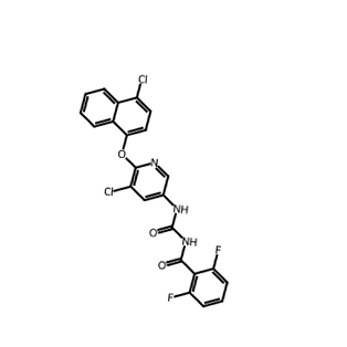 O=C(NC(=O)c1c(F)cccc1F)Nc1cnc(Oc2ccc(Cl)c3ccccc23)c(Cl)c1